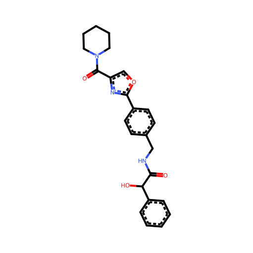 O=C(NCc1ccc(-c2nc(C(=O)N3CCCCC3)co2)cc1)C(O)c1ccccc1